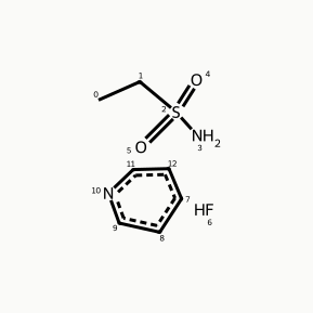 CCS(N)(=O)=O.F.c1ccncc1